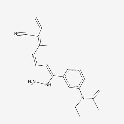 C=C/C(C#N)=C(C)/N=C\C=C(/NN)c1cccc(N(CC)C(=C)C)c1